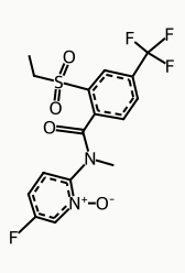 CCS(=O)(=O)c1cc(C(F)(F)F)ccc1C(=O)N(C)c1ccc(F)c[n+]1[O-]